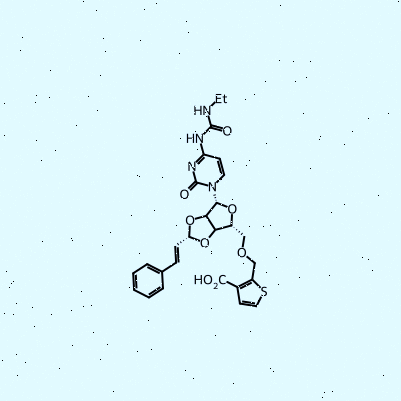 CCNC(=O)Nc1ccn([C@@H]2O[C@H](COCc3sccc3C(=O)O)C3O[C@H](/C=C/c4ccccc4)OC32)c(=O)n1